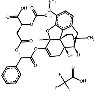 COc1ccc2c3c1O[C@H]1C(OC(=O)[C@@H](OC(=O)C[C@H](OC(C)=O)C(=O)O)c4ccccc4)=CC[C@@]4(O)[C@@H](C2)N(C)CC[C@]314.O=C(O)C(F)(F)F